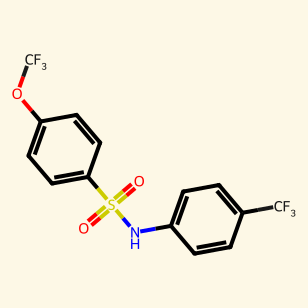 O=S(=O)(Nc1ccc(C(F)(F)F)cc1)c1ccc(OC(F)(F)F)cc1